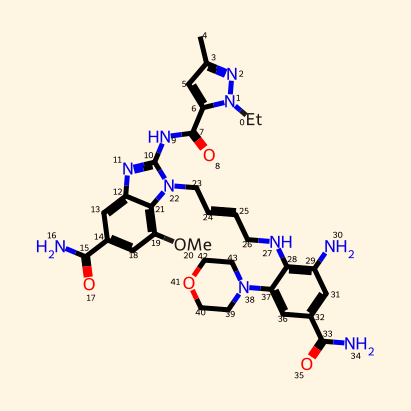 CCn1nc(C)cc1C(=O)Nc1nc2cc(C(N)=O)cc(OC)c2n1CC=CCNc1c(N)cc(C(N)=O)cc1N1CCOCC1